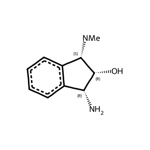 CN[C@H]1c2ccccc2[C@@H](N)[C@H]1O